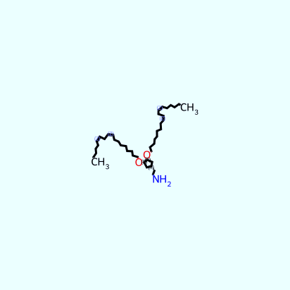 CCCCC/C=C\C/C=C\CCCCCCCCO[C@H]1C[C@@H](CCN)C[C@H]1OCCCCCCCC/C=C\C/C=C\CCCCC